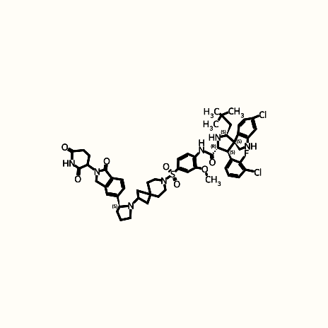 COc1cc(S(=O)(=O)N2CCC3(CC2)CC(N2CCC[C@H]2c2ccc4c(c2)CN(C2CCC(=O)NC2=O)C4=O)C3)ccc1NC(=O)[C@@H]1N[C@@H](CC(C)(C)C)[C@@]2(CNc3cc(Cl)ccc32)[C@H]1c1cccc(Cl)c1F